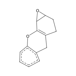 c1ccc2c(c1)CC1=C(O2)C2OC2CC1